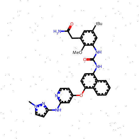 COc1c(CC(N)=O)cc(C(C)(C)C)cc1NC(=O)Nc1ccc(Oc2ccnc(Nc3ccn(C)n3)c2)c2ccccc12